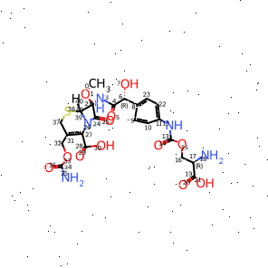 CO[C@@]1(NC(=O)[C@H](O)c2ccc(NC(=O)OC[C@@H](N)C(=O)O)cc2)C(=O)N2C(C(=O)O)=C(COC(N)=O)CS[C@@H]21